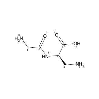 NCC(=O)N[C@H](CN)C(=O)O